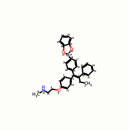 CCC(=C(c1ccc(OCCNC)cc1)c1ccc(B2Oc3ccccc3O2)cc1)c1ccccc1